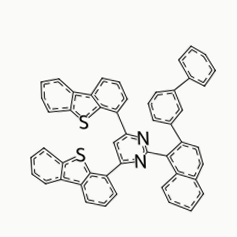 c1ccc(-c2cccc(-c3ccc4ccccc4c3-c3nc(-c4cccc5c4sc4ccccc45)cc(-c4cccc5c4sc4ccccc45)n3)c2)cc1